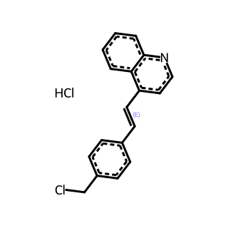 Cl.ClCc1ccc(/C=C/c2ccnc3ccccc23)cc1